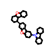 c1ccc2c(c1)oc1cccc(-c3ccc4c(c3)oc3ccc(-n5c6ccccc6c6ccccc65)cc34)c12